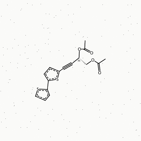 CC(=O)OC[C@H](C#Cc1ccc(-c2cccs2)s1)OC(C)=O